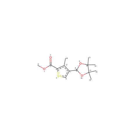 COC(=O)c1scc(B2OC(C)(C)C(C)(C)O2)c1C